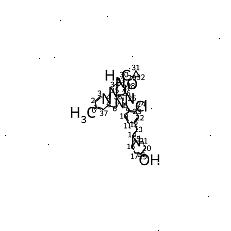 Cc1ccnc(Cn2c(-c3ccc(CCN4CCC(O)CC4)cc3Cl)nc3c(OC4(C)CC4)ncnc32)c1